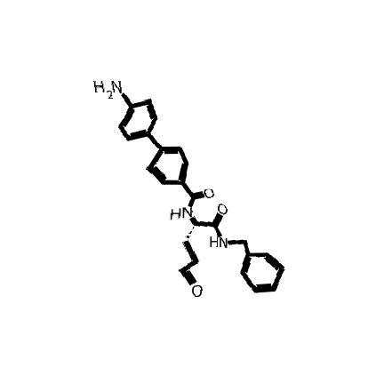 Nc1ccc(-c2ccc(C(=O)N[C@@H](CCC=O)C(=O)NCc3ccccc3)cc2)cc1